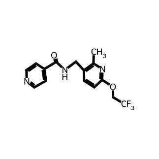 Cc1nc(OCC(F)(F)F)ccc1CNC(=O)c1ccncc1